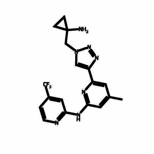 Cc1cc(Nc2cc(C(F)(F)F)ccn2)nc(-c2cn(CC3(N)CC3)nn2)c1